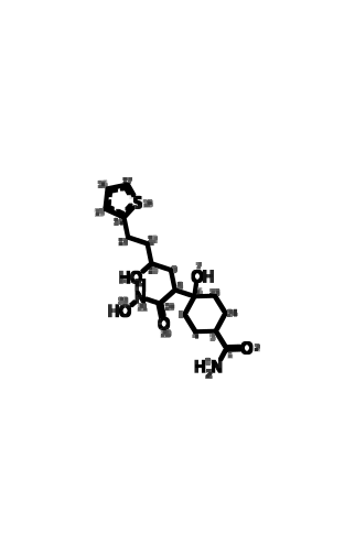 NC(=O)C1CCC(O)(C(CC(O)[CH]Cc2cccs2)C(=O)NO)CC1